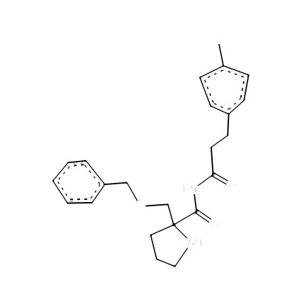 O=C(CCc1ccc(F)cc1)NC(=O)C1(COCc2ccccc2)CCCN1